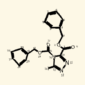 O=C(OCc1ccccc1)c1nnc(I)n1C(=O)OCc1ccccc1